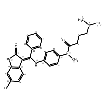 CN(C)CCCC(=O)N(C)c1ccc(NC(=C2C(=O)Nc3cc(Cl)ccc32)c2ccccc2)cc1